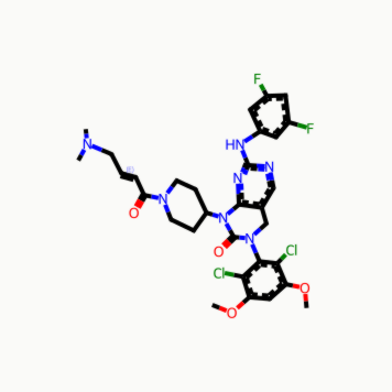 COc1cc(OC)c(Cl)c(N2Cc3cnc(Nc4cc(F)cc(F)c4)nc3N(C3CCN(C(=O)/C=C/CN(C)C)CC3)C2=O)c1Cl